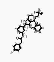 O=C(Cc1ccc(F)cc1)Nc1cc(-c2[nH]c3c(c2Nc2ccccc2)C(=O)N(CC(F)(F)F)CC3)ccn1